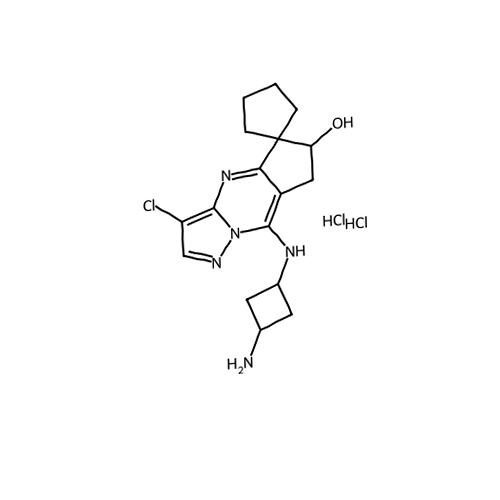 Cl.Cl.NC1CC(Nc2c3c(nc4c(Cl)cnn24)C2(CCCC2)C(O)C3)C1